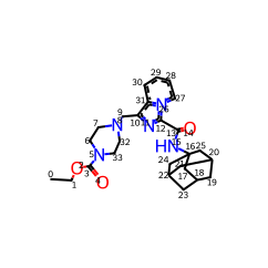 CCOC(=O)N1CCN(Cc2nc(C(=O)NC34CC5CC(CC(C5)C3)C4)n3ccccc23)CC1